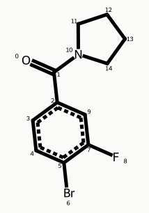 O=C(c1ccc(Br)c(F)c1)N1CCCC1